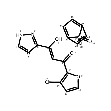 O=C(C=C(O)c1nc[nH]n1)c1occc1Cl.O=S1(=O)C2=CC=C1C=C2